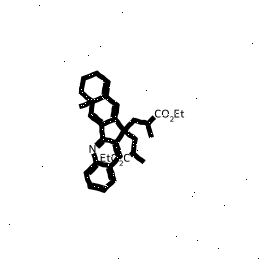 CCOC(=O)C(C)CC1(CC(C)C(=O)OCC)C2=CC3=CCCCC3(C)C=C2c2nc3ccccc3cc21